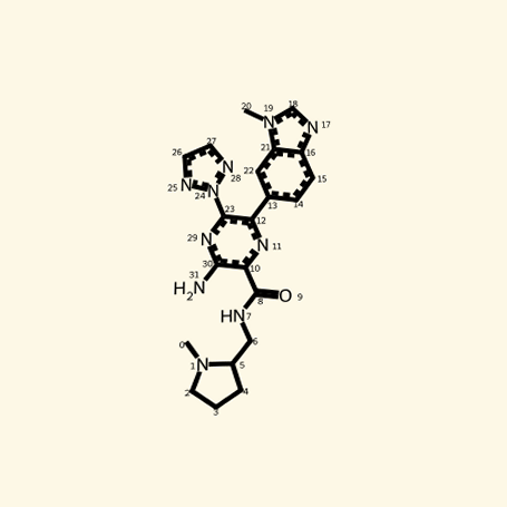 CN1CCCC1CNC(=O)c1nc(-c2ccc3ncn(C)c3c2)c(-n2nccn2)nc1N